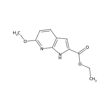 CCOC(=O)c1cc2ccc(OC)nc2[nH]1